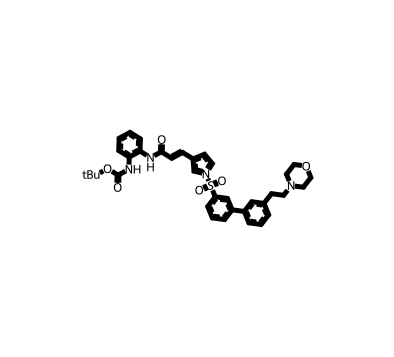 CC(C)(C)OC(=O)Nc1ccccc1NC(=O)C=Cc1ccn(S(=O)(=O)c2cccc(-c3cccc(CCN4CCOCC4)c3)c2)c1